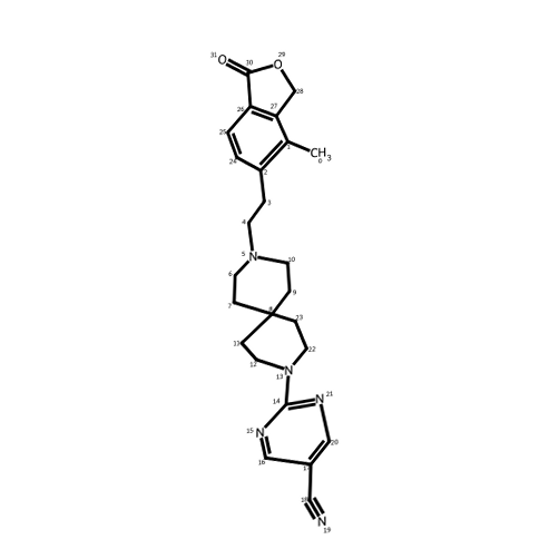 Cc1c(CCN2CCC3(CC2)CCN(c2ncc(C#N)cn2)CC3)ccc2c1COC2=O